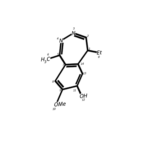 CCC1C=NN=C(C)c2cc(OC)c(O)cc21